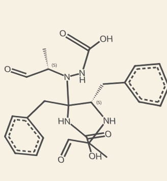 CC(C=O)N[C@@H](Cc1ccccc1)C(Cc1ccccc1)(NC(=O)O)N(NC(=O)O)[C@@H](C)C=O